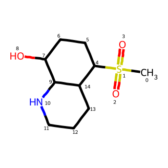 CS(=O)(=O)C1CCC(O)C2NCCCC21